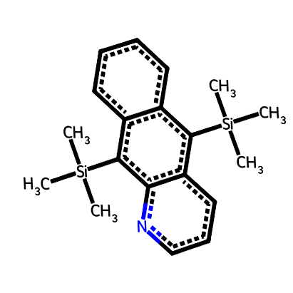 C[Si](C)(C)c1c2ccccc2c([Si](C)(C)C)c2ncccc12